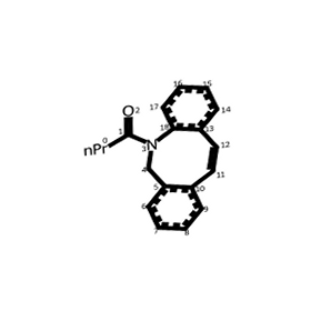 CCCC(=O)N1Cc2ccccc2/C=C\c2ccccc21